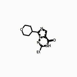 CCc1nn2c(C3CCOCC3)ncc2c(=O)[nH]1